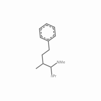 CCCC(NC)C(C)CCc1ccccc1